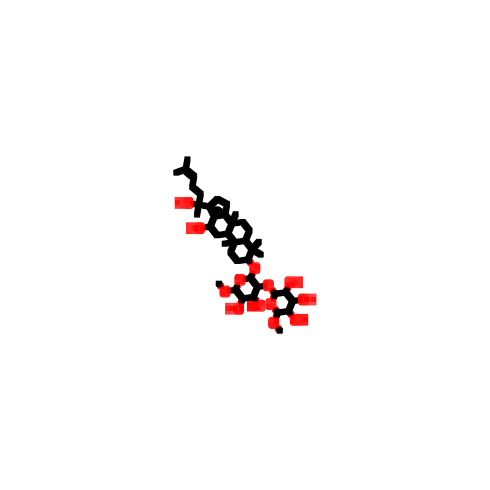 COC1OC(OC2C(OC3CCC4(C)C(CCC5(C)C4CC(O)C4C(C(C)(O)CCC=C(C)C)CCC45C)C3(C)C)OC(OC)C(O)C2O)C(O)C(O)C1O